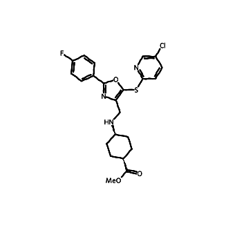 COC(=O)[C@H]1CC[C@@H](NCc2nc(-c3ccc(F)cc3)oc2Sc2ccc(Cl)cn2)CC1